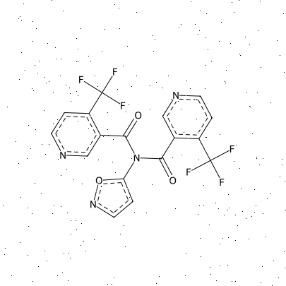 O=C(c1cnccc1C(F)(F)F)N(C(=O)c1cnccc1C(F)(F)F)c1ccno1